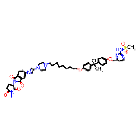 CC(C)(c1ccc(OCCCCCCCCCN2CCN(C3CN(c4ccc5c(c4)C(=O)N(C4CCC(=O)NC4=O)C5=O)C3)CC2)cc1)c1ccc(OCc2ccnc(NS(C)(=O)=O)n2)cc1